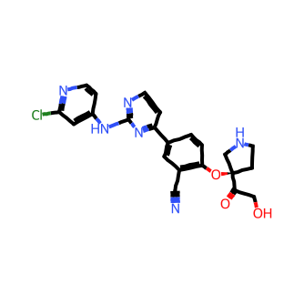 N#Cc1cc(-c2ccnc(Nc3ccnc(Cl)c3)n2)ccc1O[C@]1(C(=O)CO)CCNC1